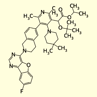 Cc1nc(C)c(C(OC(C)(C)C)C(=O)OC(C)C)c(N2CCC(C)(C)CC2)c1-c1ccc2c(c1)CCN(c1ncnc3c1oc1ccc(F)cc13)C2